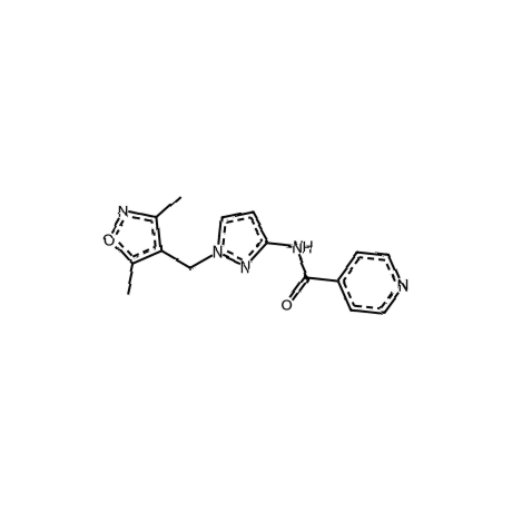 Cc1noc(C)c1Cn1ccc(NC(=O)c2ccncc2)n1